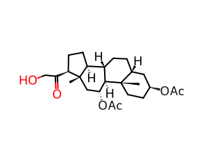 CC(=O)O[C@H]1CC[C@@]2(C)[C@H](CC[C@@H]3[C@@H]2[C@H](OC(C)=O)C[C@]2(C)[C@@H](C(=O)CO)CC[C@@H]32)C1